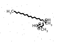 CCCCCCCCCCCCCCCC[N+](C)(O)CCC(C)S(=O)(=O)O